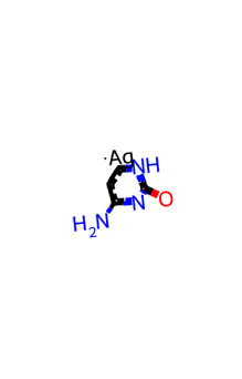 Nc1cc[nH]c(=O)n1.[Ag]